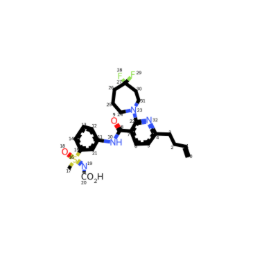 C=CCCc1ccc(C(=O)Nc2cccc(S(C)(=O)=NC(=O)O)c2)c(N2CCCC(F)(F)CC2)n1